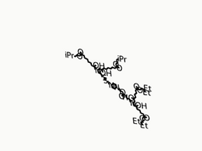 CCC(CC)COC(=O)CCCCC(O)CN(CCCCC(=O)OCCN1CCN(CCSSCCCN(CC(O)CCCCCCC(=O)OCCC(C)C)CC(O)CCCCCCC(=O)OCCC(C)C)CC1)CC(O)CCCCC(=O)OCC(CC)CC